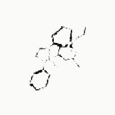 CCOC(=O)C/C(=C\C(C)C)P1(=N)N(c2ccccc2)CCN1c1ccccc1